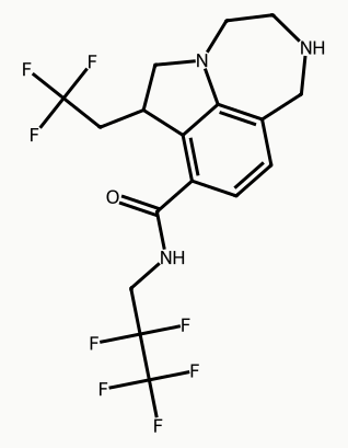 O=C(NCC(F)(F)C(F)(F)F)c1ccc2c3c1C(CC(F)(F)F)CN3CCNC2